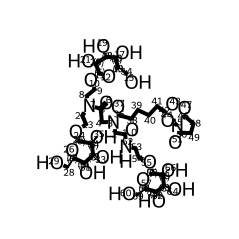 O=C(CN(CC(=O)N(CCO[C@H]1O[C@H](CO)[C@@H](O)[C@H](O)[C@@H]1O)CCO[C@H]1O[C@H](CO)[C@@H](O)[C@H](O)[C@@H]1O)C(=O)CCCCC(=O)ON1C(=O)CCC1=O)NCCO[C@@H]1O[C@H](CO)[C@@H](O)[C@H](O)[C@H]1O